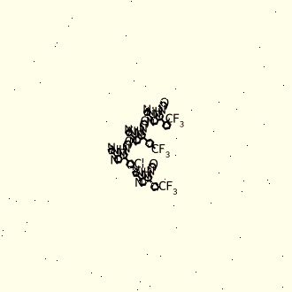 Clc1cccc(-c2cc(N3CCOCC3)nc3c(-c4ccn[nH]4)nccc23)c1.FC(F)(F)c1ccc(-c2cc(N3CCOCC3)nc3c(-c4ccn[nH]4)nccc23)cc1.FC(F)(F)c1cccc(-c2cc(N3CCOCC3)nc3c(-c4ccn[nH]4)nccc23)c1.FC(F)(F)c1ccccc1-c1cc(N2CCOCC2)nc2c(-c3ccn[nH]3)nccc12